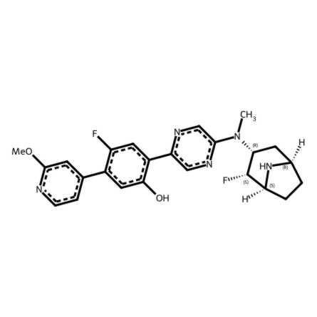 COc1cc(-c2cc(O)c(-c3cnc(N(C)[C@@H]4C[C@H]5CC[C@H](N5)[C@@H]4F)cn3)cc2F)ccn1